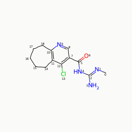 CN=C(N)NC(=O)c1cnc2c(c1Cl)CCCCC2